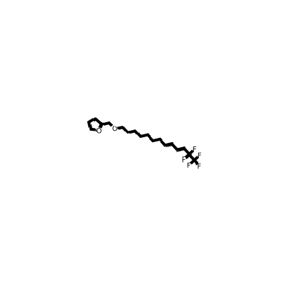 FC(F)(F)C(F)(F)CCCCCCCCCCCOCC1CCCO1